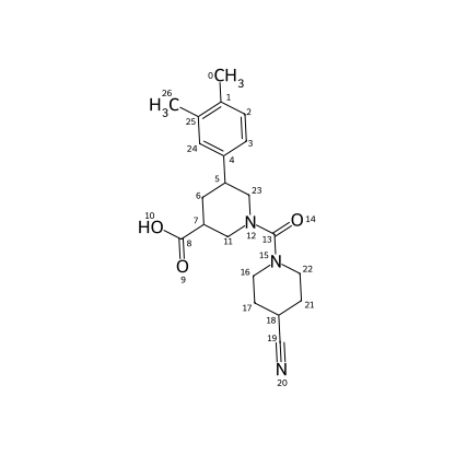 Cc1ccc(C2CC(C(=O)O)CN(C(=O)N3CCC(C#N)CC3)C2)cc1C